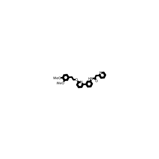 COc1ccc(CCOc2cccc(-c3cccc(NC(=O)Cc4ccccn4)c3)n2)cc1OC